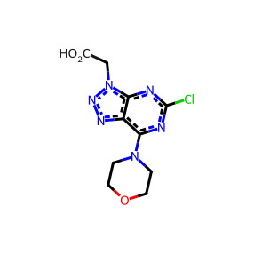 O=C(O)Cn1nnc2c(N3CCOCC3)nc(Cl)nc21